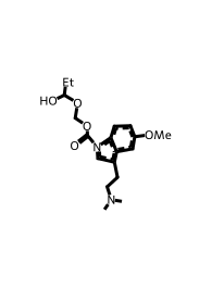 CCC(O)OCOC(=O)n1cc(CCN(C)C)c2cc(OC)ccc21